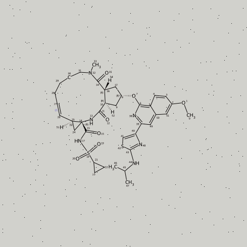 COc1ccc2c(O[C@@H]3C[C@H]4C(=O)N[C@]5(C(=O)NS(=O)(=O)C6CC6)C[C@H]5/C=C\CCCCN(C)C(=O)[C@@H]4C3)nc(-c3csc(NC(C)C)n3)cc2c1